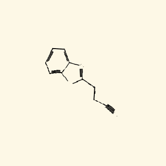 C#CCCc1nc2ccccc2s1